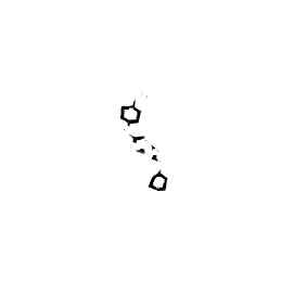 N#Cc1ccc(Nc2cn3nc(Sc4ccccc4)sc3n2)cc1